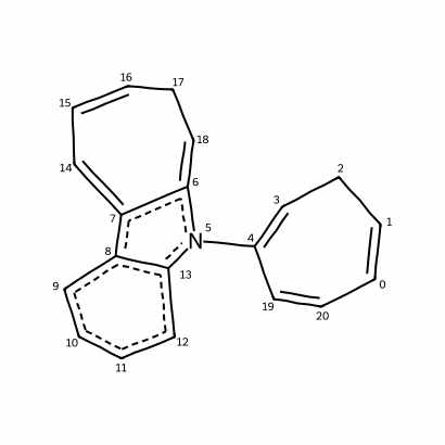 C1=CCC=C(n2c3c(c4ccccc42)=CC=CCC=3)C=C1